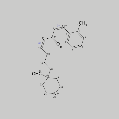 Cc1ccccc1/N=C\C(=O)/C=C\CCCC1(C=O)CCNCC1